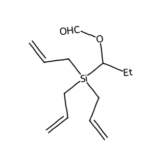 C=CC[Si](CC=C)(CC=C)C(CC)OC=O